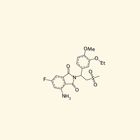 CCOc1cc(C(CS(C)(=O)=O)N2C(=O)c3cc(F)cc(N)c3C2=O)ccc1OC